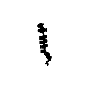 CCC(C)CCCC(C)[C@H]1CCC2C3CC=C4C[C@@H](NCCCNC(=O)CCNC(=O)CCNC(=O)CCCCCNc5ccc([N+](=O)[O-])cc5[N+](=O)[O-])CC[C@]4(C)C3CC[C@@]21C